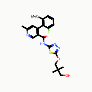 COc1cccc(F)c1-c1cc(C)ncc1C(=O)Nc1nnc(OCC(C)(C)CO)s1